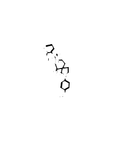 O=C1N(c2ccc(OC(F)(F)F)cc2)CCC12CCN(S(=O)(=O)c1cccnc1Cl)CC2O